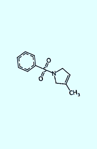 CC1=CCN(S(=O)(=O)c2ccccc2)C1